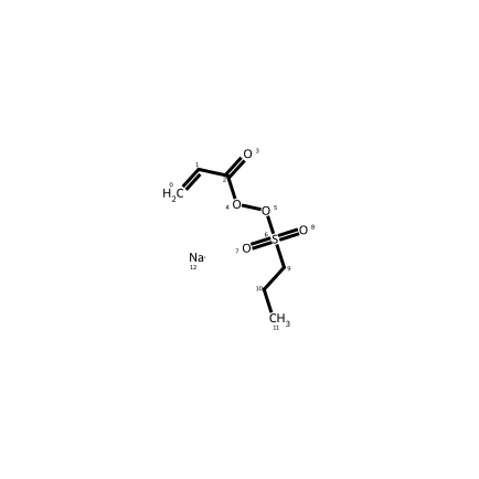 C=CC(=O)OOS(=O)(=O)CCC.[Na]